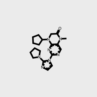 CN1C(=O)CN(C2CCCC2)c2nc(-n3ccnc3N3CCCC3)ncc21